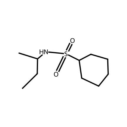 CCC(C)NS(=O)(=O)C1CCCCC1